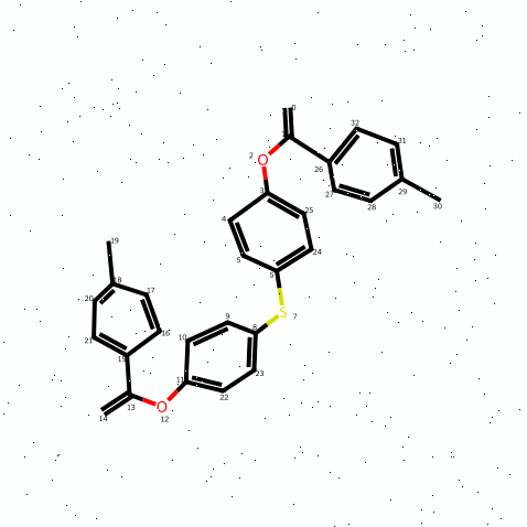 C=C(Oc1ccc(Sc2ccc(OC(=C)c3ccc(C)cc3)cc2)cc1)c1ccc(C)cc1